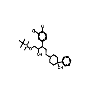 CC(C)(C)[Si](C)(C)OCC(O)C(CCN1CCC(O)(c2ccccc2)CC1)c1ccc(Cl)c(Cl)c1